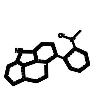 C[S+]([O-])c1ccccc1-c1ccc2[nH]c3cccc4ccc1c2c43